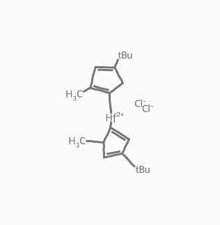 CC1=[C]([Hf+2][C]2=CC(C(C)(C)C)=CC2C)CC(C(C)(C)C)=C1.[Cl-].[Cl-]